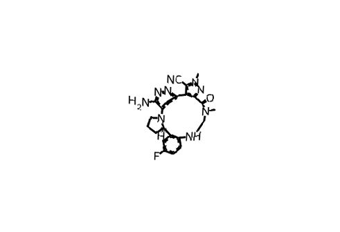 CN1CCNc2ccc(F)cc2[C@H]2CCCN2c2cc(nnc2N)-c2c(nn(C)c2C#N)C1=O